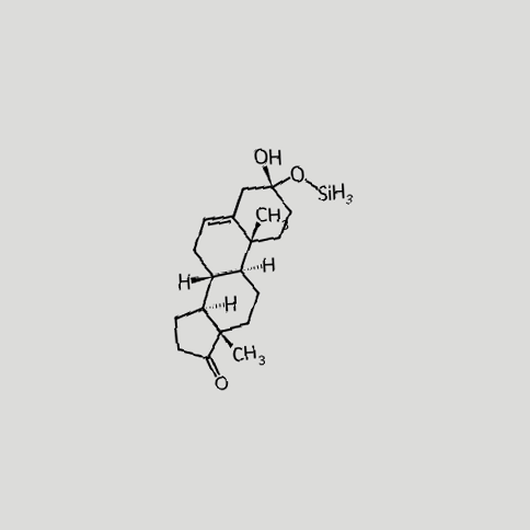 C[C@]12CC[C@@](O)(O[SiH3])CC1=CC[C@@H]1[C@@H]2CC[C@]2(C)C(=O)CC[C@@H]12